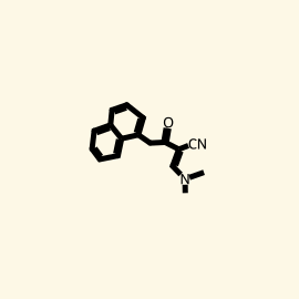 CN(C)C=C(C#N)C(=O)Cc1cccc2ccccc12